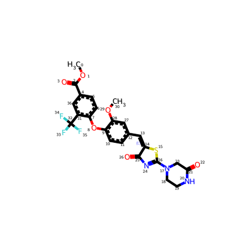 COC(=O)c1ccc(Oc2ccc(/C=C3/SC(N4CCNC(=O)C4)=NC3=O)cc2OC)c(C(F)(F)F)c1